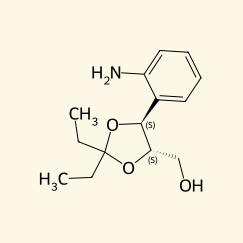 CCC1(CC)O[C@@H](CO)[C@H](c2ccccc2N)O1